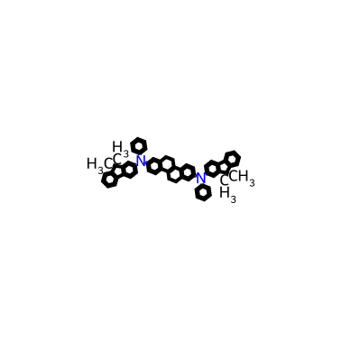 CC1(C)c2ccccc2-c2ccc(N(c3ccccc3)c3ccc4c(c3)CCC3=C4CCc4cc(N(c5ccccc5)c5ccc6c(c5)C(C)(C)c5ccccc5-6)ccc43)cc21